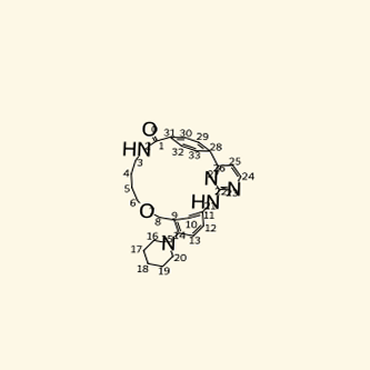 O=C1NCCCCOCc2cc(ccc2N2CCCCC2)Nc2nccc(n2)-c2ccc1cc2